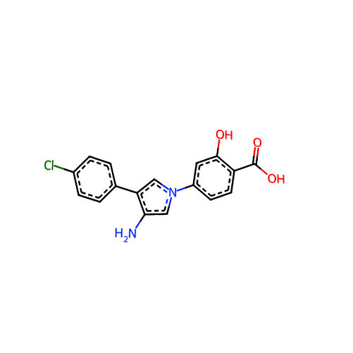 Nc1cn(-c2ccc(C(=O)O)c(O)c2)cc1-c1ccc(Cl)cc1